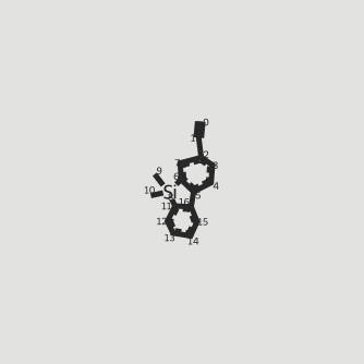 C#Cc1ccc2c(c1)[Si](C)(C)c1ccccc1-2